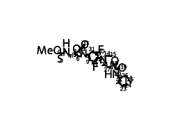 COC(=S)NC[C@H]1CN(c2cc(F)c(N3CCON(C(=O)Nc4cccnc4)CC3)c(F)c2)C(=O)O1